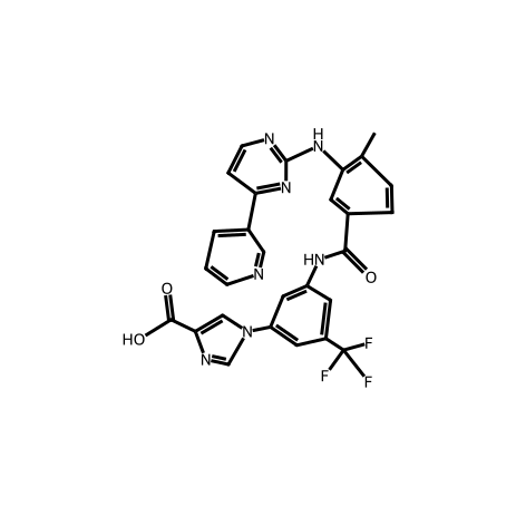 Cc1ccc(C(=O)Nc2cc(-n3cnc(C(=O)O)c3)cc(C(F)(F)F)c2)cc1Nc1nccc(-c2cccnc2)n1